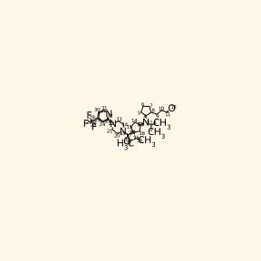 CC(C)N(C1CCCC1CCC=O)[C@@H]1CC[C@@](C(=O)N2CCN(c3cc(C(F)(F)F)ccn3)CC2)(C(C)C)C1